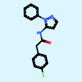 O=C(Cc1ccc(F)cc1)Nc1ccnn1-c1ccccc1